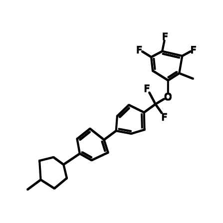 Cc1c(OC(F)(F)c2ccc(-c3ccc(C4CCC(C)CC4)cc3)cc2)cc(F)c(F)c1F